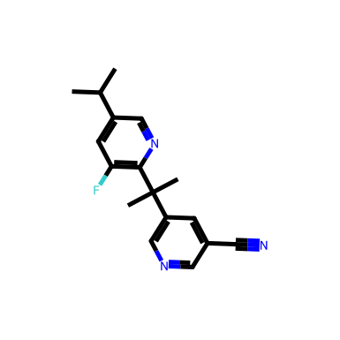 CC(C)c1cnc(C(C)(C)c2cncc(C#N)c2)c(F)c1